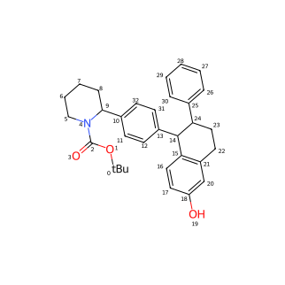 CC(C)(C)OC(=O)N1CCCCC1c1ccc(C2c3ccc(O)cc3CCC2c2ccccc2)cc1